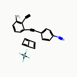 C#Cc1c(C#Cc2ccc([N+]#N)cc2)cccc1[N+](=O)[O-].F[B-](F)(F)F.c1cc2ccc1-2